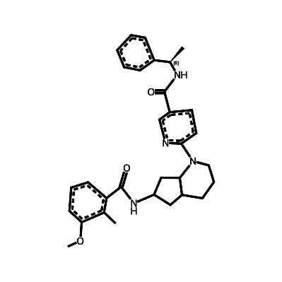 COc1cccc(C(=O)NC2CC3CCCN(c4ccc(C(=O)N[C@H](C)c5ccccc5)cn4)C3C2)c1C